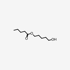 CCCCC(=O)OCCCCCO